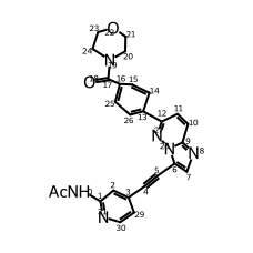 CC(=O)Nc1cc(C#Cc2cnc3ccc(-c4ccc(C(=O)N5CCOCC5)cc4)nn23)ccn1